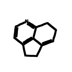 C1=C2CCc3ccnc(c32)CC1